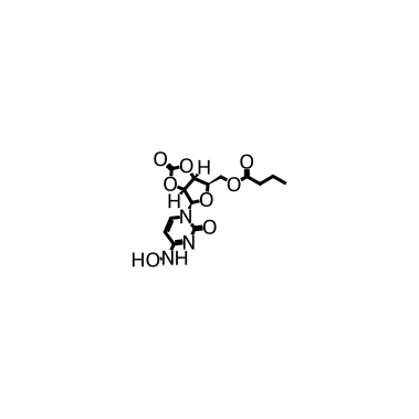 CCCC(=O)OC[C@H]1O[C@@H](n2ccc(NO)nc2=O)[C@@H]2OC(=O)O[C@@H]21